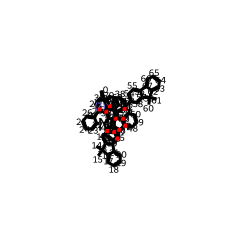 C=C/C=C\C1=C(N(c2ccc3c(c2)C(C)(C)c2ccccc2-3)c2ccccc2-c2ccccc2)C2(c3ccccc31)c1ccccc1-c1cccc(N(c3ccc4c(c3)C(C)(C)c3ccccc3-4)c3ccccc3-c3ccccc3)c12